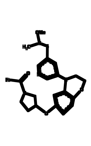 CCC(=O)N1CCC(Oc2ccc3c(c2)N(c2cncc(SN(C)OC)c2)CCO3)C1